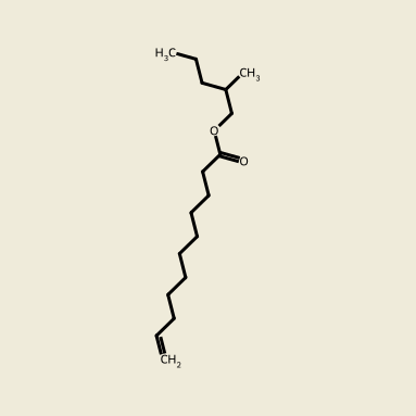 C=CCCCCCCCCC(=O)OCC(C)CCC